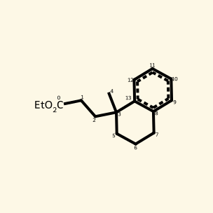 CCOC(=O)CCC1(C)CCCc2ccccc21